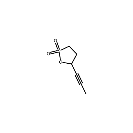 CC#CC1CCS(=O)(=O)O1